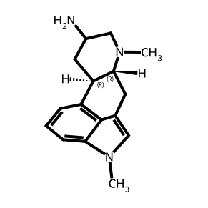 CN1CC(N)C[C@@H]2c3cccc4c3c(cn4C)C[C@H]21